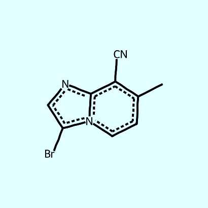 Cc1ccn2c(Br)cnc2c1C#N